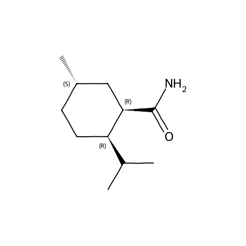 CC(C)[C@H]1CC[C@H](C)C[C@H]1C(N)=O